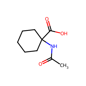 CC(=O)NC1(C(=O)O)CCCCC1